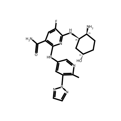 Cc1ncc(Nc2nc(N[C@@H]3C[C@@H](O)CC[C@@H]3N)c(F)cc2C(N)=O)cc1-n1nccn1